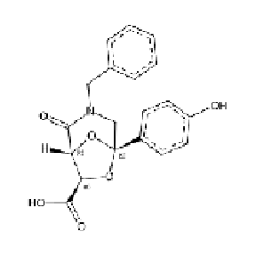 O=C(O)[C@@H]1O[C@@]2(c3ccc(O)cc3)CN(Cc3ccccc3)C(=O)[C@@H]1O2